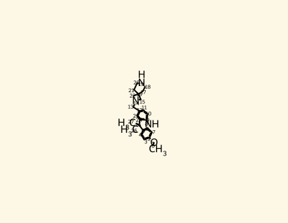 COc1ccc2c(c1)Nc1ccc(CN3CC4(CCNCC4)C3)cc1C2(C)C